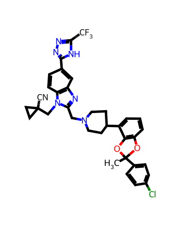 CC1(c2ccc(Cl)cc2)Oc2cccc(C3CCN(Cc4nc5cc(-c6nnc(C(F)(F)F)[nH]6)ccc5n4CC4(C#N)CC4)CC3)c2O1